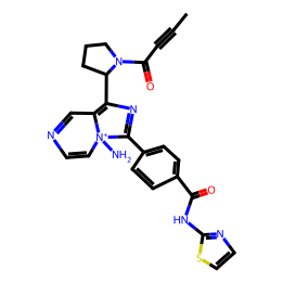 CC#CC(=O)N1CCCC1C1=C2C=NC=C[N+]2(N)C(c2ccc(C(=O)Nc3nccs3)cc2)=N1